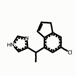 CC(c1c[nH]cn1)c1cc(Cl)cc2c1C=CC2